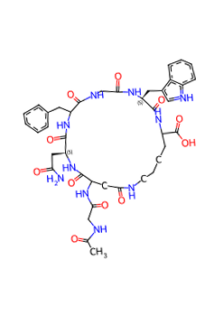 CC(=O)NCC(=O)NC1CC(=O)NCCCCC(C(=O)O)NC(=O)[C@H](Cc2c[nH]c3ccccc23)NC(=O)CNC(=O)C(Cc2ccccc2)NC(=O)[C@H](CC(N)=O)NC1=O